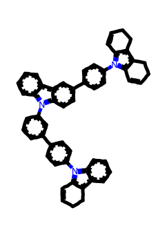 C1=Cc2c(c3c(n2-c2ccc(-c4ccc5c(c4)c4ccccc4n5-c4cccc(-c5ccc(-n6c7c(c8ccccc86)CCC=C7)cc5)c4)cc2)C=CCC3)CC1